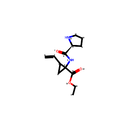 C=CC1CC1(NC(=O)[C@@H]1CCCN1)C(=O)OCC